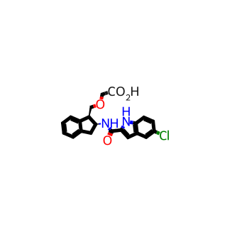 O=C(O)COC[C@@H]1c2ccccc2C[C@H]1NC(=O)c1cc2cc(Cl)ccc2[nH]1